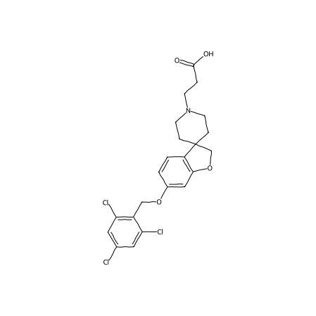 O=C(O)CCN1CCC2(CC1)COc1cc(OCc3c(Cl)cc(Cl)cc3Cl)ccc12